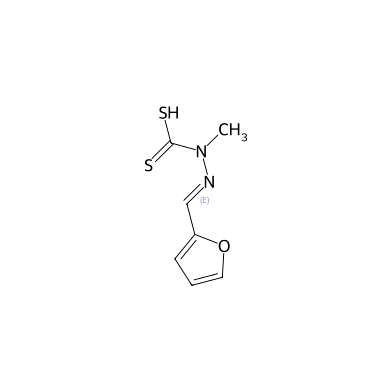 CN(/N=C/c1ccco1)C(=S)S